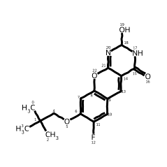 CC(C)(C)COc1cc2c(cc1F)C=C1C(=O)NC(O)N=C1O2